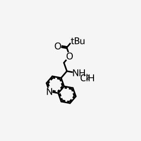 CC(C)(C)C(=O)OCC(N)c1ccnc2ccccc12.Cl